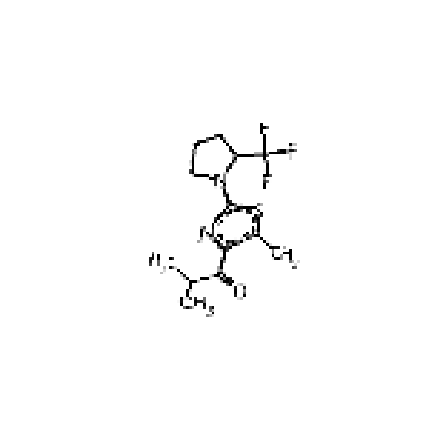 Cc1sc(N2CCCC2C(F)(F)F)nc1C(=O)C(C)C